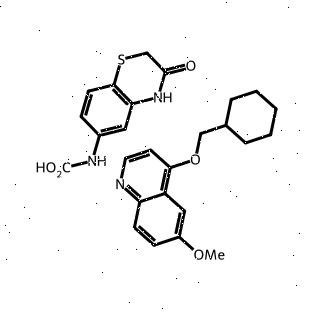 COc1ccc2nccc(OCC3CCCCC3)c2c1.O=C(O)Nc1ccc2c(c1)NC(=O)CS2